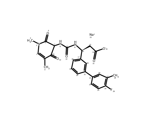 CC1=CN(C)C(=O)C(NC(=O)N[C@@H](CC(=O)[O-])c2cccc(-c3ccc(F)c(C)c3)c2)C1=O.[Na+]